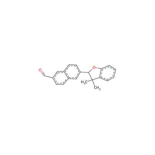 CC1(C)c2ccccc2OC1c1ccc2cc(C=O)ccc2c1